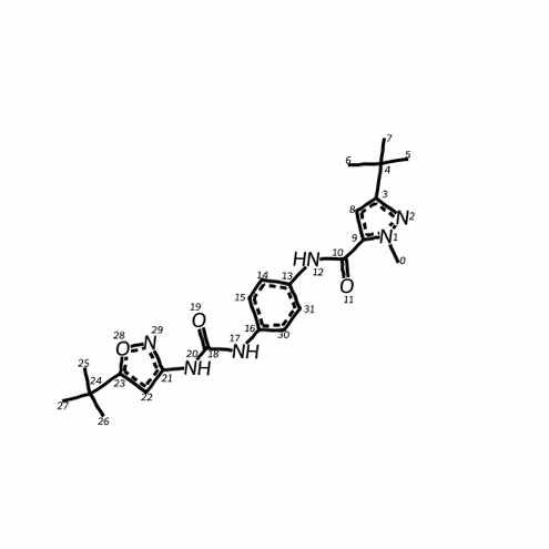 Cn1nc(C(C)(C)C)cc1C(=O)Nc1ccc(NC(=O)Nc2cc(C(C)(C)C)on2)cc1